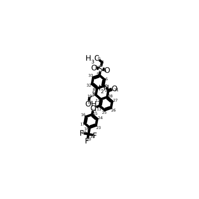 CCS(=O)(=O)c1ccc([C@@H](CO)c2c(Oc3ccc(C(F)(F)F)cc3)cccc2C(N)=O)cc1